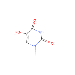 Cn1cc(O)c(=O)[nH]c1=O